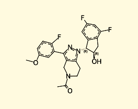 COc1ccc(F)c(-c2nn([C@@H]3c4cc(F)cc(F)c4C[C@H]3O)c3c2CN(C(C)=O)CC3)c1